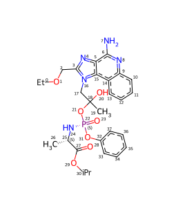 CCOCc1nc2c(N)nc3ccccc3c2n1CC(C)(O)O[P@](=O)(N[C@@H](C)C(=O)OC(C)C)Oc1ccccc1